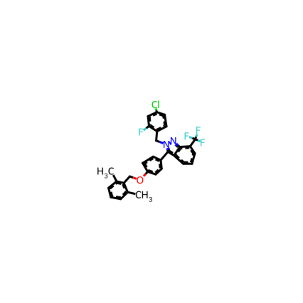 Cc1cccc(C)c1COc1ccc(-c2c3cccc(C(F)(F)F)c3nn2Cc2ccc(Cl)cc2F)cc1